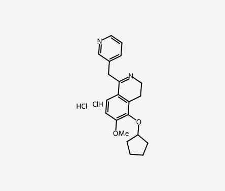 COc1ccc2c(c1OC1CCCC1)CCN=C2Cc1cccnc1.Cl.Cl